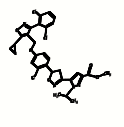 COC(=O)c1cc(C2=NOC(c3ccc(OCc4c(-c5c(Cl)cccc5Cl)noc4C4CC4)cc3Cl)C2)n(C(C)C)n1